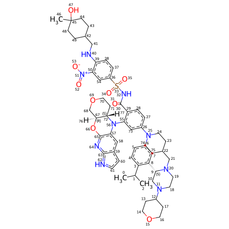 CC(C)c1ccccc1[C@H]1CN(C2CCOCC2)CCN1CC1CCN(c2ccc(C(=O)NS(=O)(=O)c3ccc(NCC4CCC(C)(O)CC4)c([N+](=O)[O-])c3)c(N3c4cc5cc[nH]c5nc4O[C@H]4COCC[C@@H]43)c2)CC1